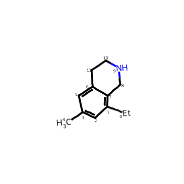 CCc1cc(C)cc2c1CNCC2